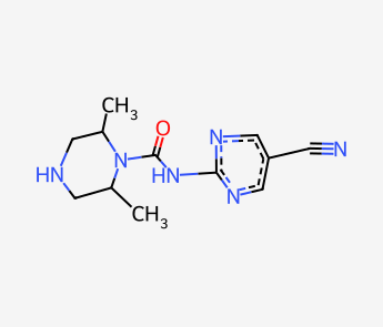 CC1CNCC(C)N1C(=O)Nc1ncc(C#N)cn1